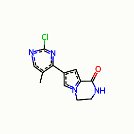 Cc1cnc(Cl)nc1-c1cc2n(c1)CCNC2=O